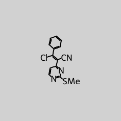 CSc1nccc(C(C#N)=C(Cl)c2ccccc2)n1